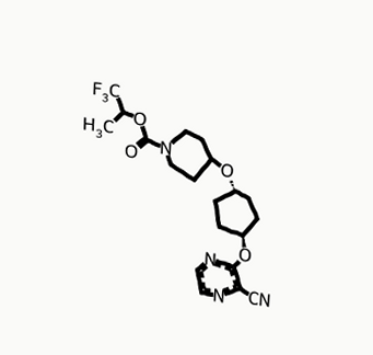 CC(OC(=O)N1CCC(O[C@H]2CC[C@H](Oc3nccnc3C#N)CC2)CC1)C(F)(F)F